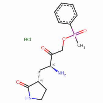 CP(=O)(OCC(=O)[C@@H](N)C[C@@H]1CCNC1=O)c1ccccc1.Cl